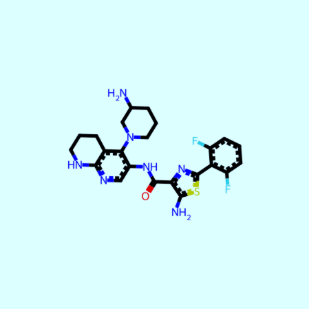 Nc1sc(-c2c(F)cccc2F)nc1C(=O)Nc1cnc2c(c1N1CCCC(N)C1)CCCN2